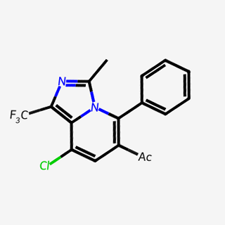 CC(=O)c1cc(Cl)c2c(C(F)(F)F)nc(C)n2c1-c1ccccc1